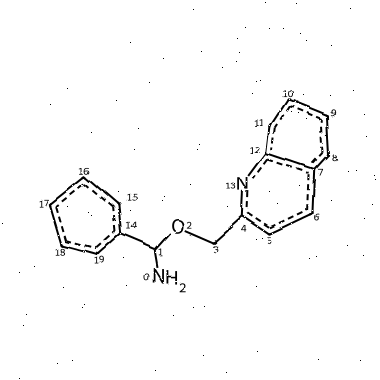 NC(OCc1ccc2ccccc2n1)c1ccccc1